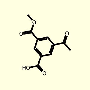 COC(=O)c1cc(C(C)=O)cc(C(=O)O)c1